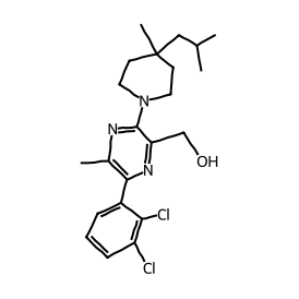 Cc1nc(N2CCC(C)(CC(C)C)CC2)c(CO)nc1-c1cccc(Cl)c1Cl